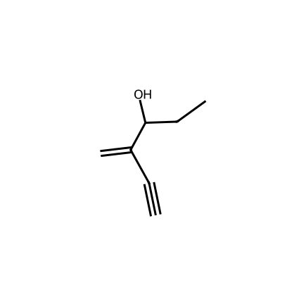 C#CC(=C)C(O)CC